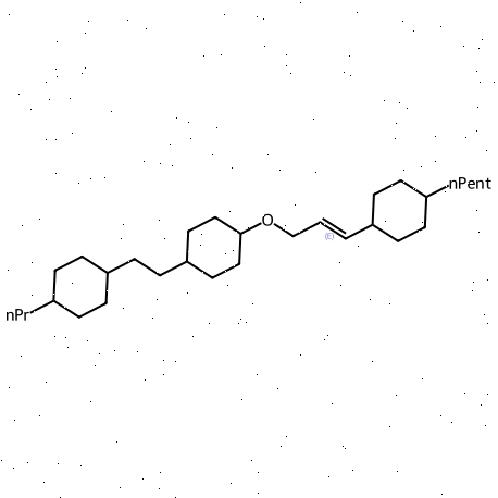 CCCCCC1CCC(/C=C/COC2CCC(CCC3CCC(CCC)CC3)CC2)CC1